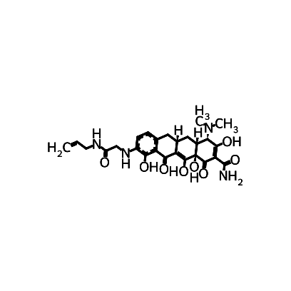 C=CCNC(=O)CNc1ccc2c(c1O)C(=O)C1=C(O)[C@@]3(O)C(=O)C(C(N)=O)=C(O)[C@@H](N(C)C)[C@H]3C[C@H]1C2